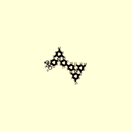 CO[Si](C)(OC)c1ccc(N(c2ccc(-c3ccc(N(c4c(C)cc(C)cc4C)c4c(C)cc(C)cc4C)cc3)cc2)c2c(C)cc(C)cc2C)cc1